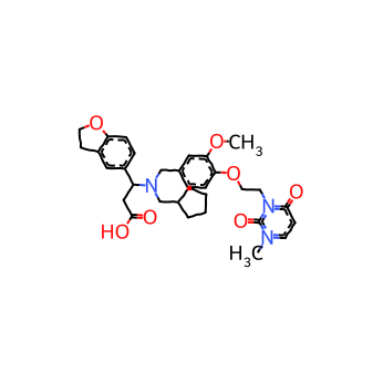 COc1cc(CN(CC2CCCC2)C(CC(=O)O)c2ccc3c(c2)CCO3)ccc1OCCn1c(=O)ccn(C)c1=O